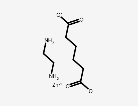 NCCN.O=C([O-])CCCCC(=O)[O-].[Zn+2]